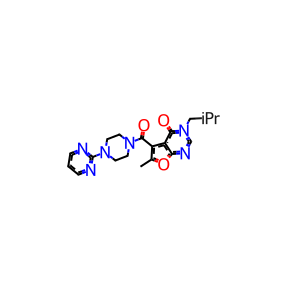 Cc1oc2ncn(CC(C)C)c(=O)c2c1C(=O)N1CCN(c2ncccn2)CC1